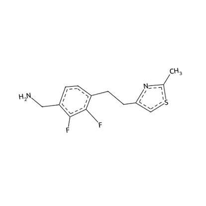 Cc1nc(CCc2ccc(CN)c(F)c2F)cs1